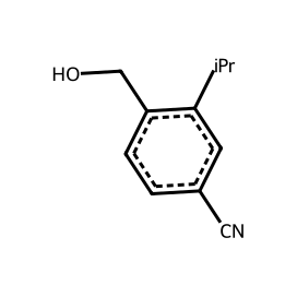 CC(C)c1cc(C#N)ccc1CO